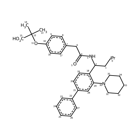 CC(C)CC(NC(=O)Cc1ccc(OC(C)(C)C(=O)O)cc1)c1ccc(-c2ccccc2)cc1N1CCCCC1